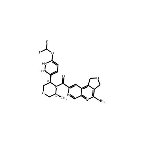 C[C@H]1COC[C@@H](C2=CC=C(OC(F)F)NN2)N1C(=O)c1cc2c3c(c(N)nc2cn1)COC3